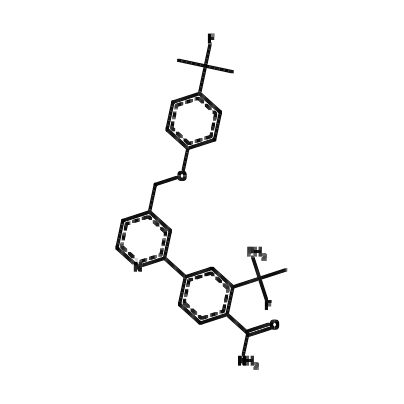 CC(C)(F)c1ccc(OCc2ccnc(-c3ccc(C(N)=O)c(C(C)(F)P)c3)c2)cc1